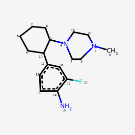 CN1CCN(C2CC[CH]CC2c2ccc(N)c(F)c2)CC1